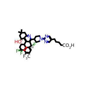 CC1(C)Cc2nc(C3CCN(c4ncc(CCCCC(=O)O)cn4)CC3)c([C@@H](F)c3ccc(C(F)(F)F)cc3)c(C3CCC(F)(F)CC3)c2[C@@H](O)C1